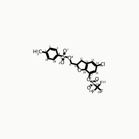 Cc1ccc(S(=O)(=O)OCC2Cc3cc(Cl)cc(OS(=O)(=O)C(F)(F)F)c3O2)cc1